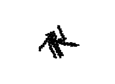 C#CCN(CC(C)=O)C(=O)CN(CC#C)C(=O)CN(CCOCCOCCOC)C(=O)CN(CCOCCOCCOC)C(=O)CN(CCOCCOCCOC)C(=O)CN(CCOCCOCCOC)C(=O)CN(CCOCCOCCOC)C(=O)CN(C)CCOCCOCCOC